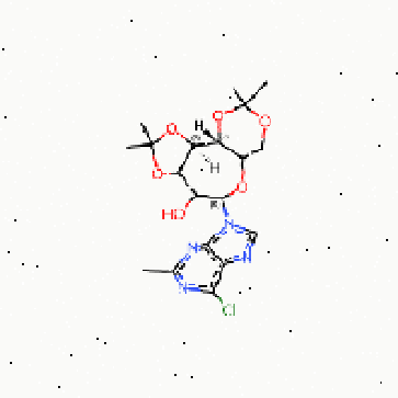 Cc1nc(Cl)c2ncn([C@@H]3OC4COC(C)(C)O[C@H]4[C@@H]4OC(C)(C)OC4C3O)c2n1